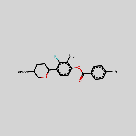 CCCCCC1CCC(c2ccc(OC(=O)c3ccc(CCC)cc3)c(C(F)(F)F)c2F)OC1